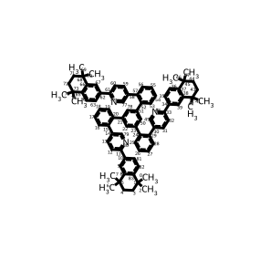 CC1(C)CCC(C)(C)c2cc(-c3ccc(-c4ccccc4-c4cc(-c5ccccc5-c5ccc(-c6ccc7c(c6)C(C)(C)CCC7(C)C)nc5)cc(-c5ccccc5-c5ccc(-c6ccc7c(c6)C(C)(C)CCC7(C)C)nc5)c4)cn3)ccc21